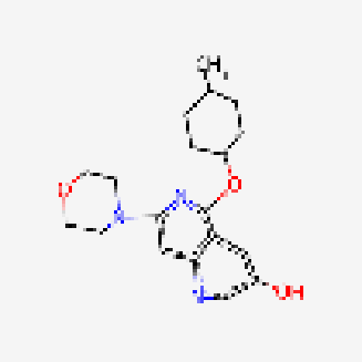 CC1CCC(Oc2nc(N3CCOCC3)cc3ncc(O)cc23)CC1